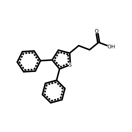 O=C(O)CCc1cc(-c2ccccc2)c(-c2ccccc2)s1